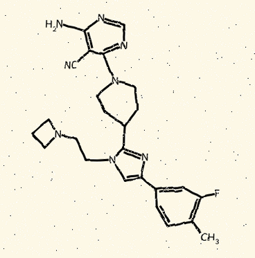 Cc1ccc(-c2cn(CCN3CCC3)c(C3CCN(c4ncnc(N)c4C#N)CC3)n2)cc1F